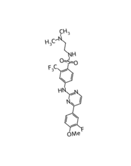 COc1ccc(-c2ccnc(Nc3ccc(S(=O)(=O)NCCN(C)C)c(C(F)(F)F)c3)n2)cc1F